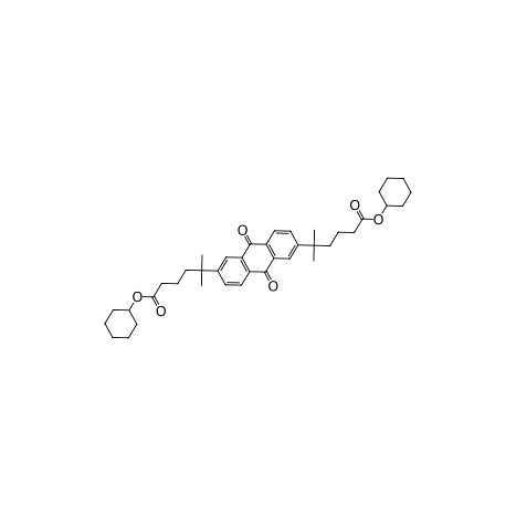 CC(C)(CCCC(=O)OC1CCCCC1)c1ccc2c(c1)C(=O)c1ccc(C(C)(C)CCCC(=O)OC3CCCCC3)cc1C2=O